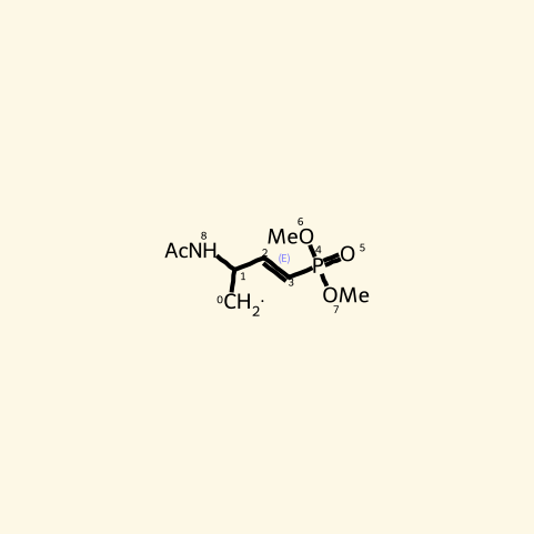 [CH2]C(/C=C/P(=O)(OC)OC)NC(C)=O